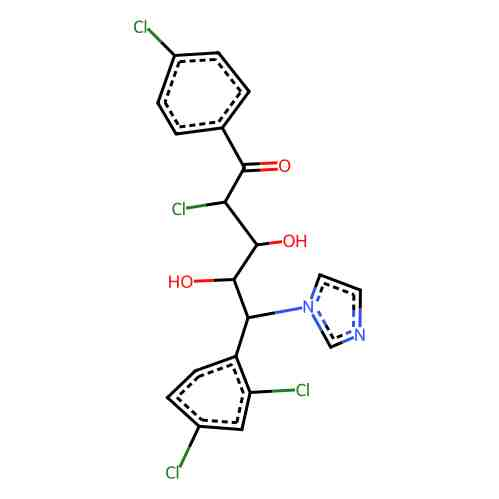 O=C(c1ccc(Cl)cc1)C(Cl)C(O)C(O)C(c1ccc(Cl)cc1Cl)n1ccnc1